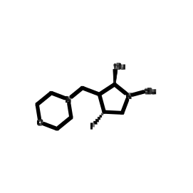 CC(C)(C)[C@@H]1C(CN2CCOCC2)[C@@H](F)CN1C(C)(C)C